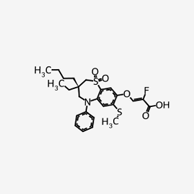 CCCC[C@]1(CC)CN(c2ccccc2)c2cc(SC)c(O/C=C(\F)C(=O)O)cc2S(=O)(=O)C1